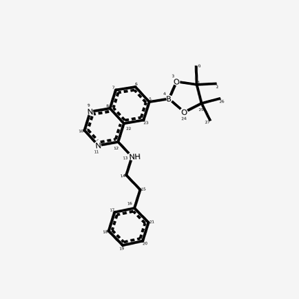 CC1(C)OB(c2ccc3ncnc(NCCc4ccccc4)c3c2)OC1(C)C